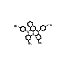 CC(C)(C)c1ccc(N2c3ccc(C(C)(C)C)cc3B3c4cc(C(C)(C)C)ccc4N(c4ccc(C(C)(C)C)cc4)c4c3c2cc2ccccc42)cc1